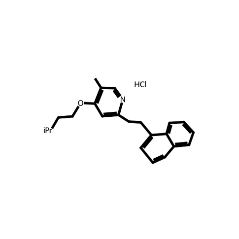 Cc1cnc(CCc2cccc3ccccc23)cc1OCCC(C)C.Cl